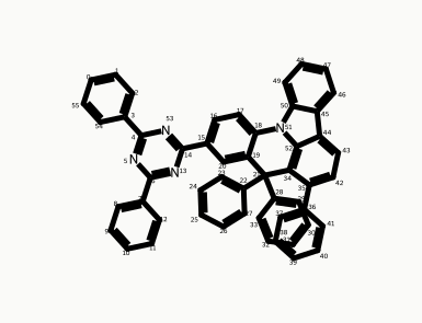 c1ccc(-c2nc(-c3ccccc3)nc(-c3ccc4c(c3)C(c3ccccc3)(c3ccccc3)c3c(-c5ccccc5)ccc5c6ccccc6n-4c35)n2)cc1